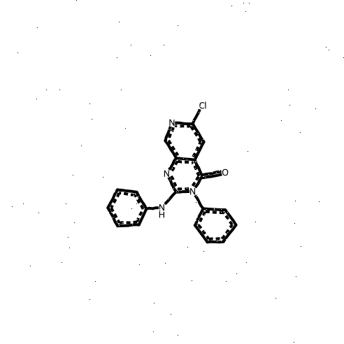 O=c1c2cc(Cl)ncc2nc(Nc2ccccc2)n1-c1ccccc1